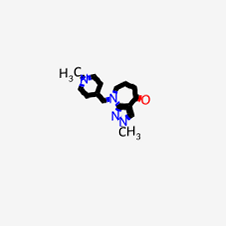 CN1CCC(CN2CCCC(=O)c3cn(C)nc32)CC1